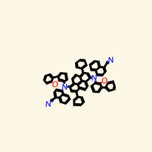 N#Cc1ccc(N(c2cc(-c3ccccc3)c3ccc4c(N(c5ccc(C#N)c6ccccc56)c5cccc6c5oc5ccccc56)cc(-c5ccccc5)c5ccc2c3c54)c2cccc3c2oc2ccccc23)c2ccccc12